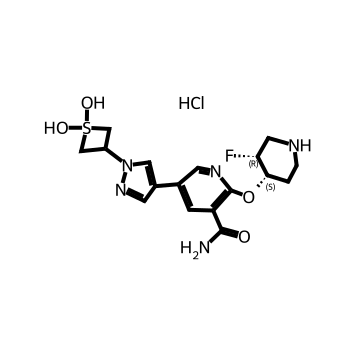 Cl.NC(=O)c1cc(-c2cnn(C3CS(O)(O)C3)c2)cnc1O[C@H]1CCNC[C@H]1F